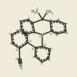 CC1(C)c2ccccc2N(c2ccccc2-c2cnccc2C#N)c2ccccc21